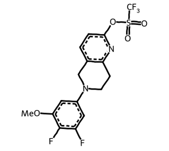 COc1cc(N2CCc3nc(OS(=O)(=O)C(F)(F)F)ccc3C2)cc(F)c1F